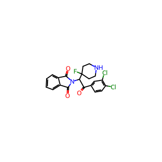 O=C(c1ccc(Cl)c(Cl)c1)C(N1C(=O)c2ccccc2C1=O)C1(F)CCNCC1